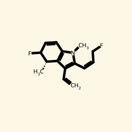 C=Cc1c2c(n(C)c1/C=C\CF)C=CC(F)[C@H]2C